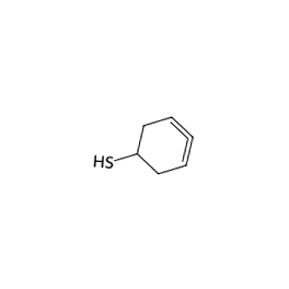 SC1CC=C=CC1